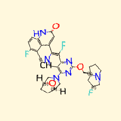 C#Cc1c(F)ccc2[nH]c(=O)cc(-c3ncc4c(N5C[C@H]6CC[C@@H](C5)O6)nc(OC[C@@]56CCCN5C[C@H](F)C6)nc4c3F)c12